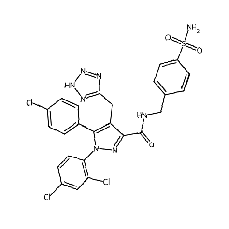 NS(=O)(=O)c1ccc(CNC(=O)c2nn(-c3ccc(Cl)cc3Cl)c(-c3ccc(Cl)cc3)c2Cc2nn[nH]n2)cc1